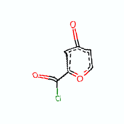 O=C(Cl)c1cc(=O)cco1